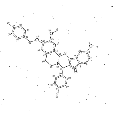 COc1ccc2[nH]c3c(c2c1)CC1c2cc(OC)c(OCc4ccc(C)cc4)cc2CCN1C3c1ccc(F)cc1